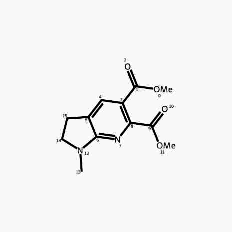 COC(=O)c1cc2c(nc1C(=O)OC)N(C)CC2